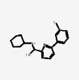 OC(NC1CCCCC1)c1cccc(-c2cccc(Cl)c2)n1